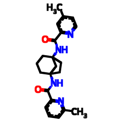 Cc1ccnc(C(=O)N[C@@]23CCC[C@@](NC(=O)c4cccc(C)n4)(CC2)C3)c1